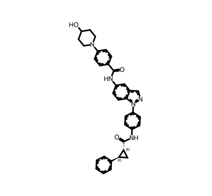 O=C(Nc1ccc2c(cnn2-c2ccc(NC(=O)[C@@H]3C[C@H]3c3ccccc3)cc2)c1)c1ccc(N2CCC(O)CC2)cc1